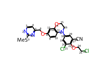 CSc1nccc(COc2ccc3c(c2)OCCN3c2cc(Cl)c(OCCCl)c(C#N)c2)n1